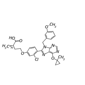 COc1cccc(Cn2c(-c3ccc(OCC[C@@H](C)C(=O)O)cc3Cl)nc3c(OC4(C)CC4)ncnc32)c1